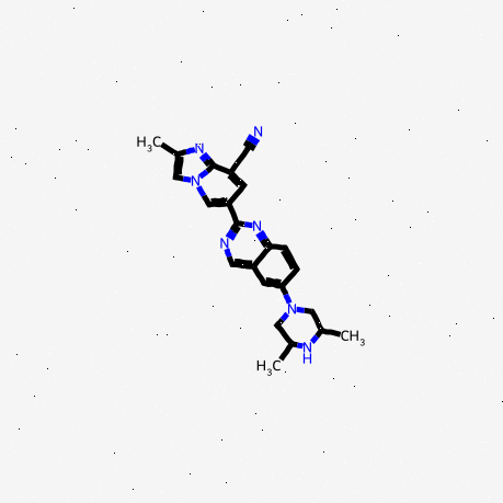 Cc1cn2cc(-c3ncc4cc(N5CC(C)NC(C)C5)ccc4n3)cc(C#N)c2n1